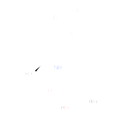 C[C@H](NC(=O)CC(O)C(C)(C)C)c1cccc(OC(F)F)c1